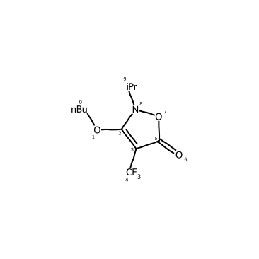 CCCCOc1c(C(F)(F)F)c(=O)on1C(C)C